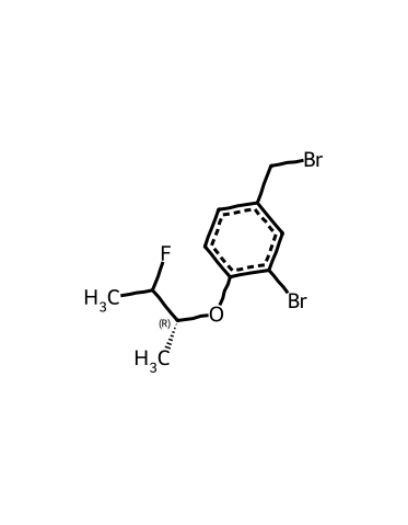 CC(F)[C@@H](C)Oc1ccc(CBr)cc1Br